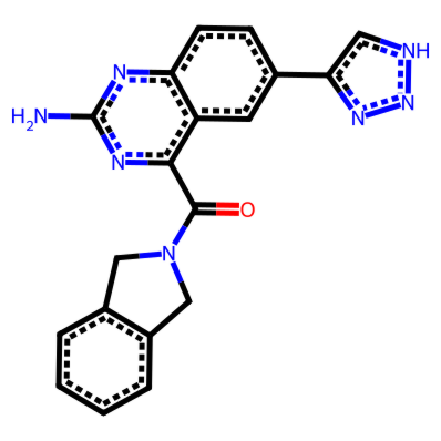 Nc1nc(C(=O)N2Cc3ccccc3C2)c2cc(-c3c[nH]nn3)ccc2n1